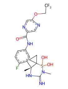 CN1C(=N)N[C@](C)(c2cc(NC(=O)c3cnc(OCC(F)(F)F)cn3)ccc2F)C2(CC2)S1(O)O